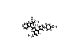 CC(C)(O)c1sc2cnccc2c1-c1cc2c(-c3cnn([C@H]4CC[C@H](O)CC4)c3)cnc(N)c2o1